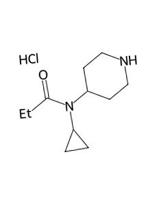 CCC(=O)N(C1CCNCC1)C1CC1.Cl